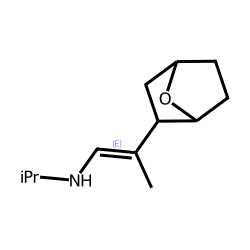 C/C(=C\NC(C)C)C1CC2CCC1O2